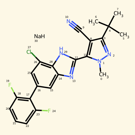 Cn1nc(C(C)(C)C)c(C#N)c1-c1nc2cc(-c3c(F)cccc3F)cc(Cl)c2[nH]1.[NaH]